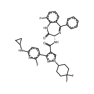 O=C(N[C@H]1N=C(c2ccccc2)c2cccc(F)c2NC1=O)c1cn(C2CCC(F)(F)CC2)nc1-c1ccc(NC2CC2)nc1F